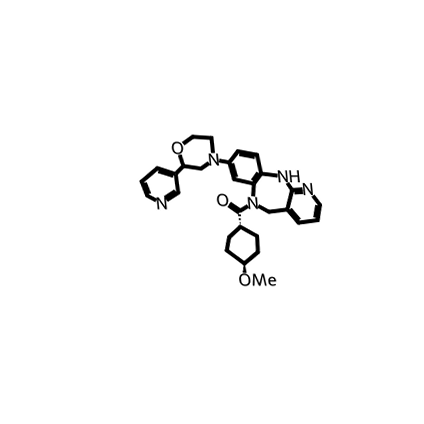 CO[C@H]1CC[C@H](C(=O)N2Cc3cccnc3Nc3ccc(N4CCOC(c5cccnc5)C4)cc32)CC1